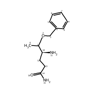 CC(OCc1ccccc1)[C@@H](N)CCC(N)=O